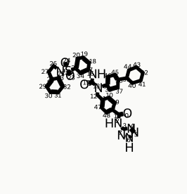 O=C(Nc1nn[nH]n1)c1ccc(CN(C(=O)Nc2cccc(S(=O)(=O)N3CCc4ccccc43)c2)c2ccc(C3CCCCC3)cc2)cc1